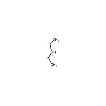 C[CH2][BiH][CH2]C